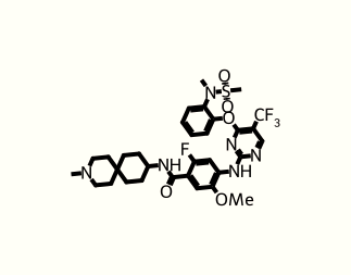 COc1cc(C(=O)NC2CCC3(CC2)CCN(C)CC3)c(F)cc1Nc1ncc(C(F)(F)F)c(Oc2ccccc2N(C)S(C)(=O)=O)n1